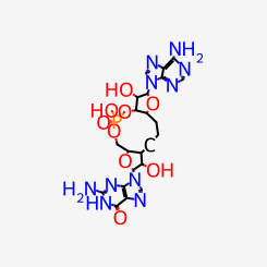 Nc1nc2c(ncn2C2OC3COP(=O)(O)OC4C(CCCC3C2O)OC(n2cnc3c(N)ncnc32)C4O)c(=O)[nH]1